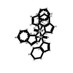 [CH2]=[Zr]([CH3])([CH3])([CH]1C=CC2=C1CCCC2)([CH]1C=CC2=C1CCCC2)[Zr](=[CH2])([CH3])([CH3])([CH]1C=Cc2ccccc21)[CH]1C=Cc2ccccc21